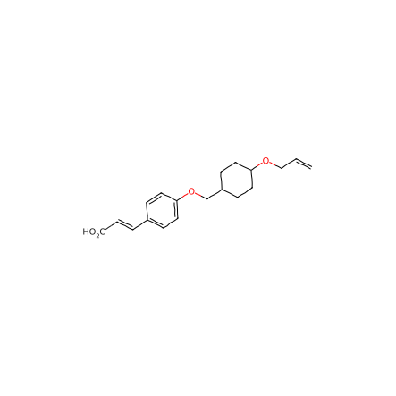 C=CCOC1CCC(COc2ccc(C=CC(=O)O)cc2)CC1